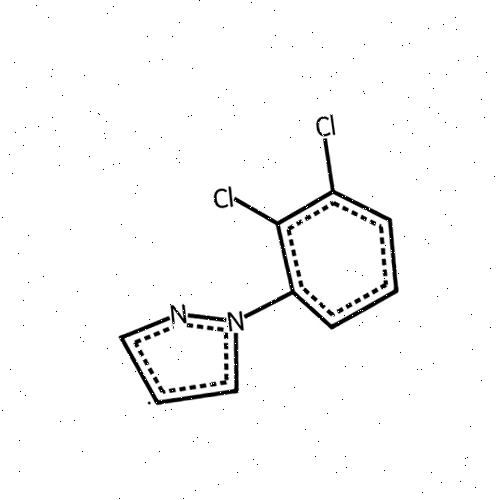 Clc1cccc(-n2c[c]cn2)c1Cl